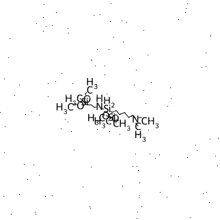 CCO[Si](C)(CCCNC[SiH2]C(CCCCCN(CC)CC)[Si](C)(OC)OC)OCC